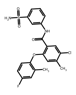 Cc1cc(Oc2ccc(F)cc2C)c(C(=O)Nc2cccc(S(N)(=O)=O)c2)cc1Cl